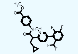 COC(=O)c1ccc(NC(=O)C(CC2CC2)c2ccc(-c3c(C(F)F)ccc(Cl)c3F)c[n+]2O)cc1